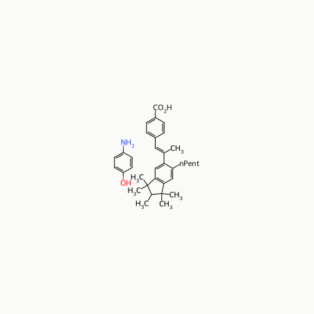 CCCCCc1cc2c(cc1/C(C)=C/c1ccc(C(=O)O)cc1)C(C)(C)C(C)C2(C)C.Nc1ccc(O)cc1